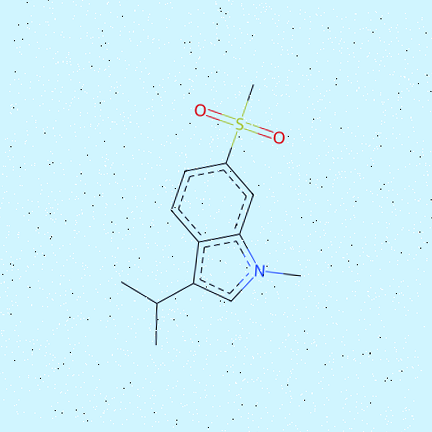 CC(C)c1cn(C)c2cc(S(C)(=O)=O)ccc12